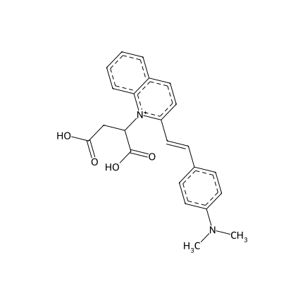 CN(C)c1ccc(/C=C/c2ccc3ccccc3[n+]2C(CC(=O)O)C(=O)O)cc1